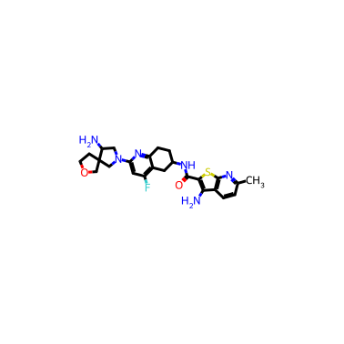 Cc1ccc2c(N)c(C(=O)NC3CCc4nc(N5CC(N)C6(CCOC6)C5)cc(F)c4C3)sc2n1